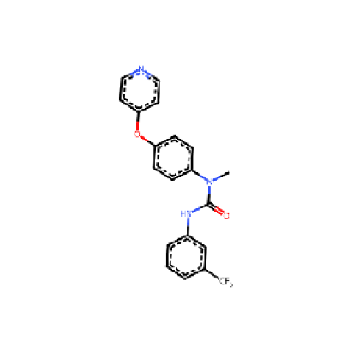 CN(C(=O)Nc1cccc(C(F)(F)F)c1)c1ccc(Oc2ccncc2)cc1